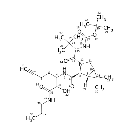 C#CCCC(NC(=O)[C@@H]1[C@@H]2C(CN1C(=O)[C@@H](NC(=O)OC(C)(C)C)C(C)(C)C)C2(C)C)C(O)C(=O)NCCC